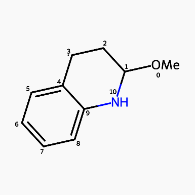 COC1C[CH]c2ccccc2N1